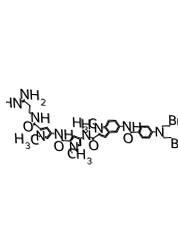 Cn1cc(NC(=O)c2cc(NC(=O)c3cc4cc(NC(=O)c5ccc(N(CCBr)CCBr)cc5)ccc4n3C)cn2C)cc1C(=O)NCCC(=N)N